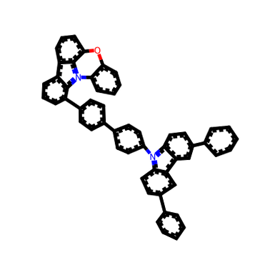 c1ccc(-c2ccc3c(c2)c2cc(-c4ccccc4)ccc2n3-c2ccc(-c3ccc(-c4cccc5c6cccc7c6n(c45)-c4ccccc4O7)cc3)cc2)cc1